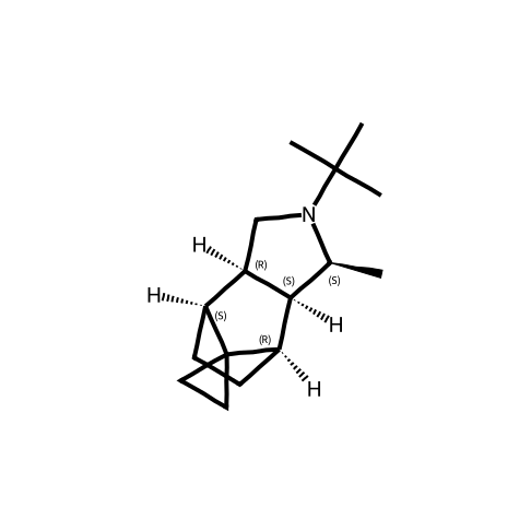 C[C@H]1[C@@H]2[C@H](CN1C(C)(C)C)[C@@H]1CC[C@H]2C12CC2